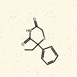 CCC1(c2ccccc2)SCC(=O)NC1=O